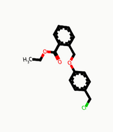 CCOC(=O)c1ccccc1COc1ccc(CCl)cc1